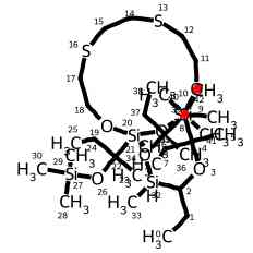 CCC(OC(C)(CC)[Si]1(C)OCCSCCSCCO[Si](C)(C(C)(CC)O[Si](C)(C)C)O1)[SiH](C)O[C@](C)(CC)[Si](C)(C)C